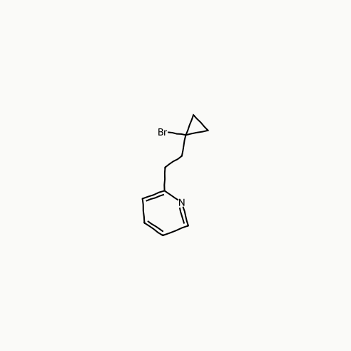 BrC1(CCc2ccccn2)CC1